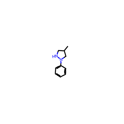 CC1CNN(c2ccccc2)C1